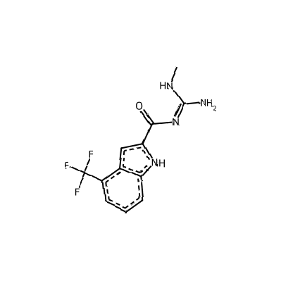 CNC(N)=NC(=O)c1cc2c(C(F)(F)F)cccc2[nH]1